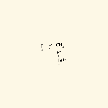 C.[F-].[F-].[F-].[Fe+3]